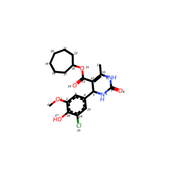 COc1cc(C2NC(=O)NC(C)=C2C(=O)OC2CCCCCC2)cc(Cl)c1O